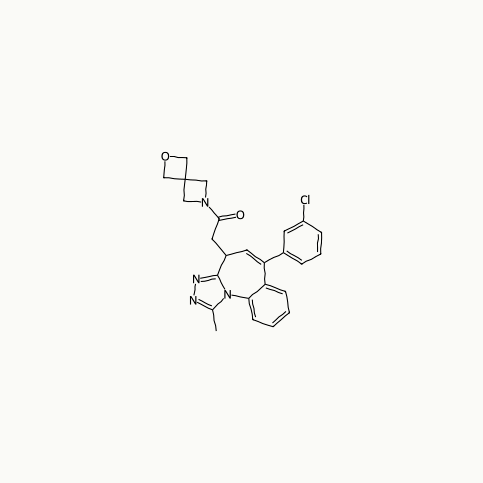 Cc1nnc2n1-c1ccccc1C(c1cccc(Cl)c1)=CC2CC(=O)N1CC2(COC2)C1